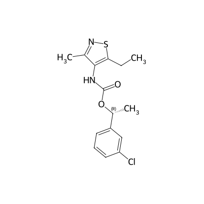 CCc1snc(C)c1NC(=O)O[C@H](C)c1cccc(Cl)c1